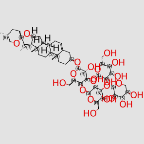 C[C@@H]1CC[C@@]2(OC1)O[C@H]1C[C@H]3[C@@H]4CC=C5C[C@@H](O[C@@H]6O[C@H](CO)[C@H](O[C@@H]7O[C@H](CO)[C@@H](O)[C@H](O[C@@H]8OC[C@@H](O)[C@H](O)[C@H]8O)[C@H]7O[C@@H]7O[C@H](CO)[C@@H](O)[C@H](O)[C@H]7O)[C@H](O)[C@H]6O)CC[C@]5(C)[C@H]4CC[C@]3(C)[C@H]1[C@@H]2C